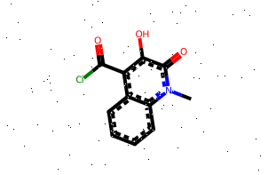 Cn1c(=O)c(O)c(C(=O)Cl)c2ccccc21